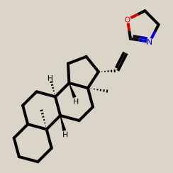 C1=NCCO1.C=C[C@H]1CC[C@H]2[C@@H]3CCC4CCCC[C@]4(C)[C@H]3CC[C@]12C